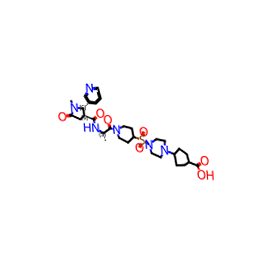 C[C@H](NC(=O)[C@H]1CC(=O)N(C)[C@@H]1c1cccnc1)C(=O)N1CCC(S(=O)(=O)N2CCN(C3CCC(C(=O)O)CC3)CC2)CC1